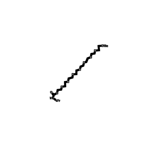 CCCNC(=O)OCCOCCOCCOCCOCCOCCOCCOCCOC